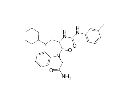 Cc1cccc(NC(=O)NC2CC(C3CCCCC3)c3ccccc3N(CC(N)=O)C2=O)c1